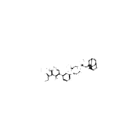 CCc1c[nH]c2ncc(-c3cccc(N4CCN(C(=O)CC56CC7CC(CC(C7)C5)C6)CC4=O)c3)c(Cl)c12